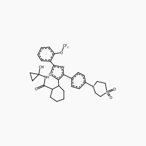 N#CC1(NC(=O)C2CCCCC2c2oc(-c3ccccc3OC(F)(F)F)nc2-c2ccc(N3CCS(=O)(=O)CC3)cc2)CC1